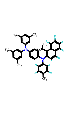 C=C(C)c1c(N(c2ccc(N(c3cc(C)cc(C(F)(F)F)c3)c3cc(C)cc(C(F)(F)F)c3)cc2)c2c(F)c(F)c(C(F)(F)F)c(F)c2F)c(F)c(F)c2c(F)c(F)c(F)c(F)c12